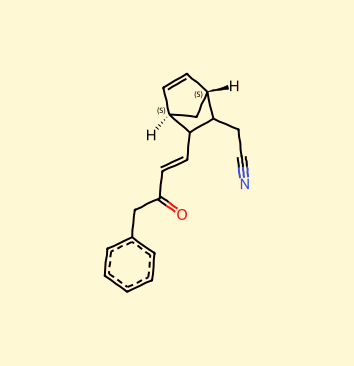 N#CCC1C(C=CC(=O)Cc2ccccc2)[C@H]2C=C[C@H]1C2